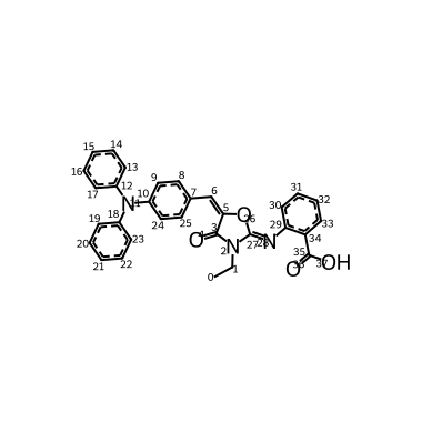 CCN1C(=O)/C(=C\c2ccc(N(c3ccccc3)c3ccccc3)cc2)OC1=Nc1ccccc1C(=O)O